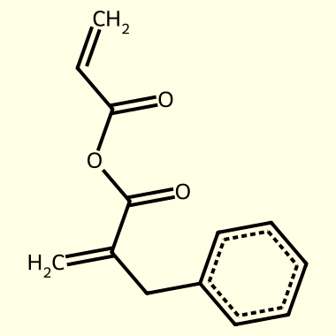 C=CC(=O)OC(=O)C(=C)Cc1ccccc1